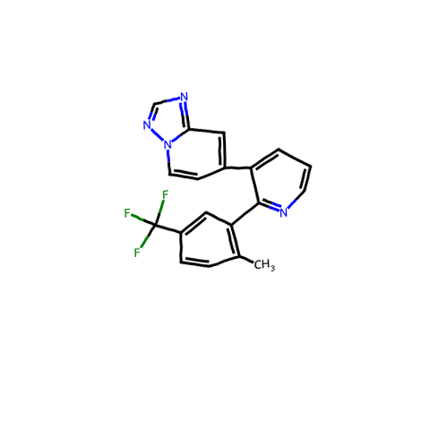 Cc1ccc(C(F)(F)F)cc1-c1ncccc1-c1ccn2ncnc2c1